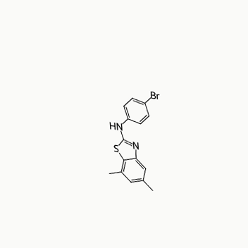 Cc1cc(C)c2sc(Nc3ccc(Br)cc3)nc2c1